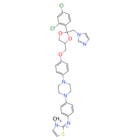 Cn1ccs/c1=N/c1ccc(N2CCN(c3ccc(OCC4COC(Cn5ccnc5)(c5ccc(Cl)cc5Cl)O4)cc3)CC2)cc1